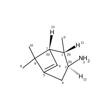 C[C@@H]1[C@@H](N)CC2=C[C@@H]1C2(C)C